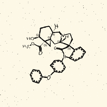 COC(=O)[C@@]12C[C@@]13C[C@@H]1N(CC[C@@]14C(=O)N(c1ccc(Oc5ccccc5)cc1)c1ccccc14)C[C@@H]3CC[C@@H]2O